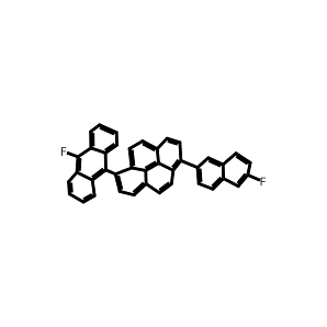 Fc1ccc2cc(-c3ccc4ccc5c(-c6c7ccccc7c(F)c7ccccc67)ccc6ccc3c4c65)ccc2c1